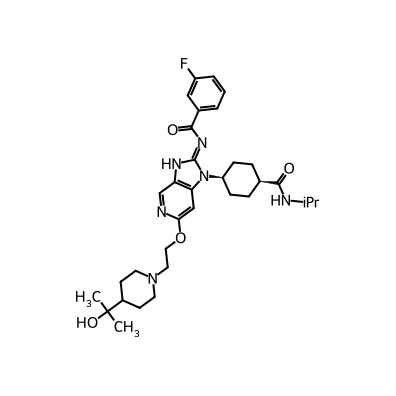 CC(C)NC(=O)[C@H]1CC[C@@H](n2/c(=N/C(=O)c3cccc(F)c3)[nH]c3cnc(OCCN4CCC(C(C)(C)O)CC4)cc32)CC1